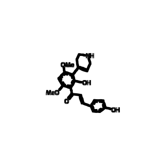 COc1cc(OC)c(C2=CCNCC2)c(O)c1C(=O)/C=C/c1ccc(O)cc1